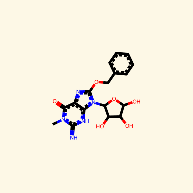 Cn1c(=N)[nH]c2c(nc(OCc3ccccc3)n2C2OC(O)C(O)C2O)c1=O